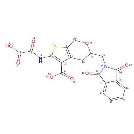 O=C(O)C(=O)Nc1sc2c(c1C(=O)O)CC(CN1C(=O)c3ccccc3C1=O)OC2